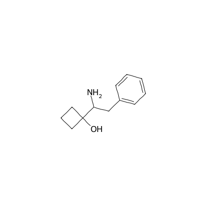 NC(Cc1ccccc1)C1(O)CCC1